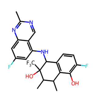 Cc1ncc2c(NC3c4ccc(F)c(O)c4C(C)C(C)C3(O)C(F)(F)F)cc(F)cc2n1